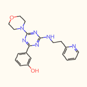 Oc1cccc(-c2nc(NCCc3ccccn3)nc(N3CCOCC3)n2)c1